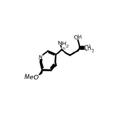 C=C(O)C[C@H](N)c1ccc(OC)nc1